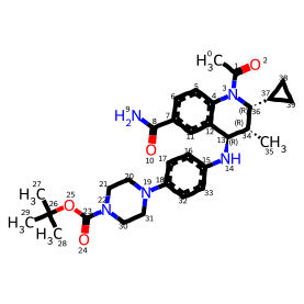 CC(=O)N1c2ccc(C(N)=O)cc2[C@H](Nc2ccc(N3CCN(C(=O)OC(C)(C)C)CC3)cc2)[C@@H](C)[C@H]1C1CC1